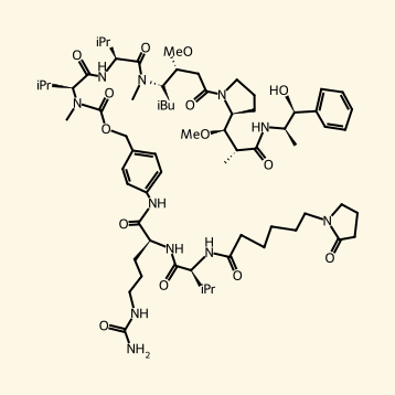 CC[C@H](C)[C@@H]([C@@H](CC(=O)N1CCC[C@H]1[C@H](OC)[C@@H](C)C(=O)N[C@H](C)[C@@H](O)c1ccccc1)OC)N(C)C(=O)[C@@H](NC(=O)[C@H](C(C)C)N(C)C(=O)OCc1ccc(NC(=O)[C@H](CCCNC(N)=O)NC(=O)[C@@H](NC(=O)CCCCCN2CCCC2=O)C(C)C)cc1)C(C)C